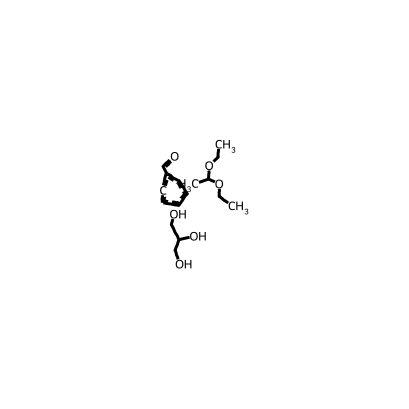 CCOC(C)OCC.O=Cc1ccccc1.OCC(O)CO